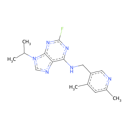 Cc1cc(C)c(CNc2nc(F)nc3c2ncn3C(C)C)cn1